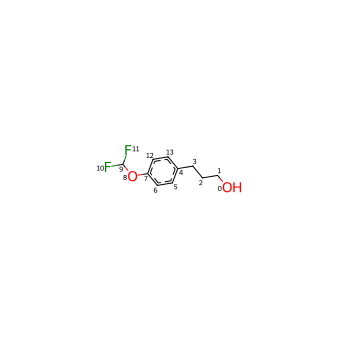 OCCCc1ccc(OC(F)F)cc1